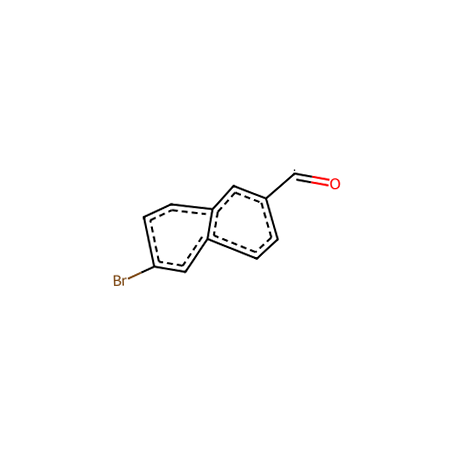 O=[C]c1ccc2cc(Br)ccc2c1